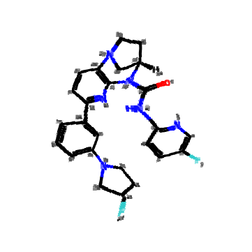 O=C(Nc1ccc(F)cn1)N1c2nc(-c3cccc(N4CC[C@@H](F)C4)c3)ccc2N2CC[C@H]1C2